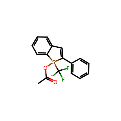 CC(=O)OS1(C(F)(F)F)C(c2ccccc2)=Cc2ccccc21